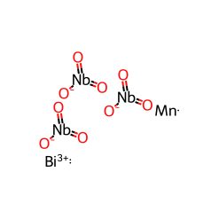 [Bi+3].[Mn].[O]=[Nb](=[O])[O-].[O]=[Nb](=[O])[O-].[O]=[Nb](=[O])[O-]